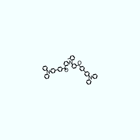 Cc1ccccc1N(c1cccc(C(=O)c2ccc(-c3ccc(N(c4ccccc4)c4ccccc4)cc3)cc2)c1)c1cccc(C(=O)c2ccc(-c3ccc(N(c4ccccc4)c4ccccc4)cc3)cc2)c1